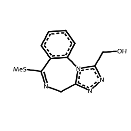 CSC1=NCc2nnc(CO)n2-c2ccccc21